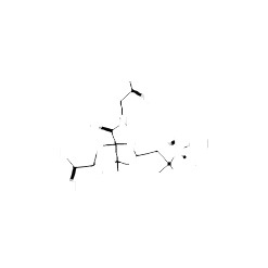 C=C(F)C(=O)OC(OCCC(F)(F)S(=O)(=O)O)(C(=O)NCC(C)=O)C(F)(F)F